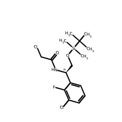 CC(C)(C)[Si](C)(C)OC[C@H](NC(=O)CCl)c1cccc(Cl)c1F